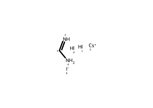 I.I.N=CN.[Cs+].[I-]